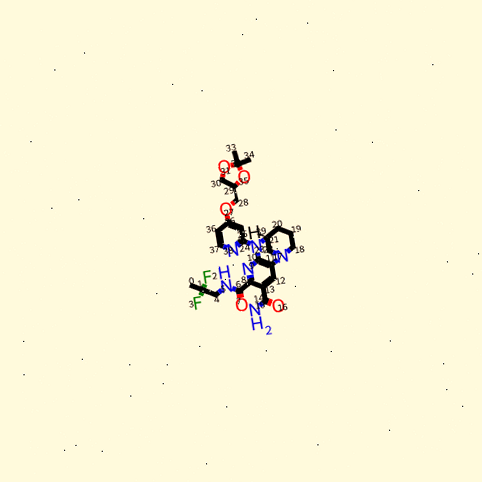 CC(F)(F)CNC(=O)c1nc2c(cc1C(N)=O)N1CCC[C@@H](C1)N2c1cc(OC[C@H]2COC(C)(C)O2)ccn1